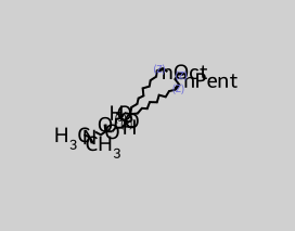 CCCCC/C=C\C/C=C\CCCCCCCCC1(CCCCCCCC/C=C\CCCCCCCC)O[C@H]2CC(OC(=O)CCN(C)C)C[C@H]2O1